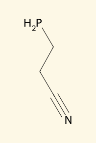 N#CCCP